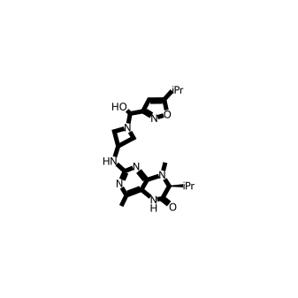 Cc1nc(NC2CN(C(O)c3cc(C(C)C)on3)C2)nc2c1NC(=O)[C@H](C(C)C)N2C